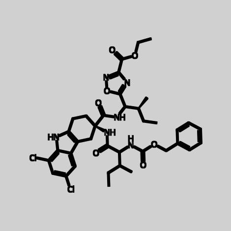 CCOC(=O)c1noc(C(NC(=O)[C@@]2(NC(=O)C(NC(=O)OCc3ccccc3)C(C)CC)CCc3[nH]c4c(Cl)cc(Cl)cc4c3C2)[C@@H](C)CC)n1